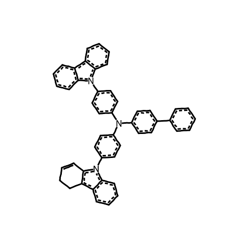 C1=Cc2c(c3ccccc3n2-c2ccc(N(c3ccc(-c4ccccc4)cc3)c3ccc(-n4c5ccccc5c5ccccc54)cc3)cc2)CC1